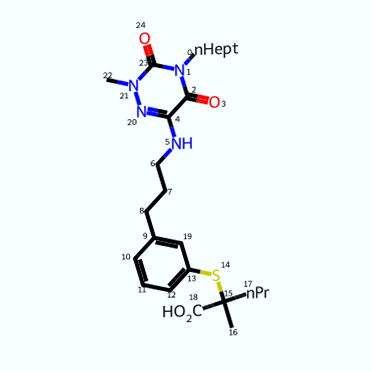 CCCCCCCn1c(=O)c(NCCCc2cccc(SC(C)(CCC)C(=O)O)c2)nn(C)c1=O